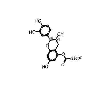 CCCCCCCC(=O)Oc1cc(O)cc2c1C[C@H](O)[C@H](c1ccc(O)c(O)c1)O2